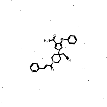 N#CCC1(n2cc(C(N)=O)c(Nc3ccccc3)n2)CCN(C(=O)C=Cc2cccnc2)CC1